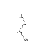 CC(C)=CCCC(C)=CCCC(C)=CCCCS